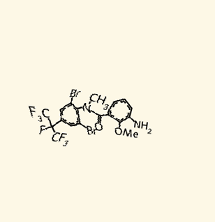 COc1c(N)cccc1C(=O)N(C)c1c(Br)cc(C(F)(C(F)(F)F)C(F)(F)F)cc1Br